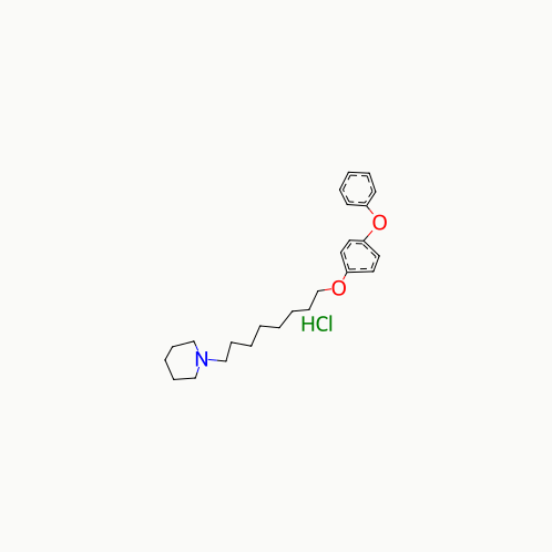 Cl.c1ccc(Oc2ccc(OCCCCCCCCN3CCCCC3)cc2)cc1